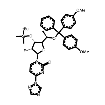 COc1ccc(C(O[C@H](C)C2O[C@@H](n3ccc(-n4cncn4)nc3=O)[C@H](F)[C@@H]2O[Si](C)(C)C(C)(C)C)(c2ccccc2)c2ccc(OC)cc2)cc1